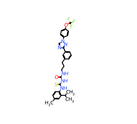 Cc1ccc(NC(=S)NC(=O)NCCCc2cccc(-c3ncn(-c4ccc(OC(F)(F)F)cc4)n3)c2)c(C(C)C)c1